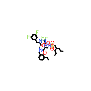 CCCC(CCC)CS(=O)(=O)NCCC(=O)N(Cc1cccc(CC)c1)C[C@@H](OC(=O)C(F)(F)F)[C@@H](N)Cc1cc(F)cc(F)c1